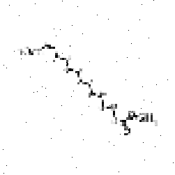 CCCCCCCC/C=C\CCCCCCCCCCCC(=O)O[SiH3]